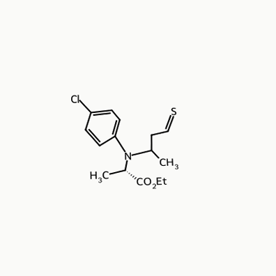 CCOC(=O)[C@H](C)N(c1ccc(Cl)cc1)C(C)CC=S